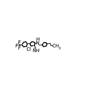 CCCc1ccc(CNc2ccc(-c3ccc(C(F)(F)F)cc3Cl)cc2C=N)cc1